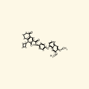 COc1cc2nccc(Oc3ccc(NC(=O)c4cc5c(n(C6CCC6)c4=O)CCCC5=O)nc3)c2cc1OC